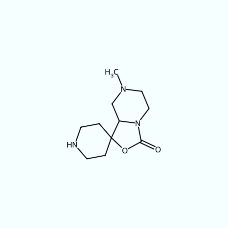 CN1CCN2C(=O)OC3(CCNCC3)C2C1